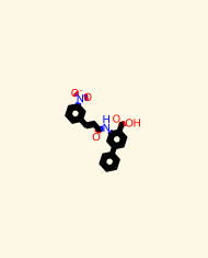 O=C(/C=C/c1cccc([N+](=O)[O-])c1)Nc1cc(-c2ccccc2)ccc1C(=O)O